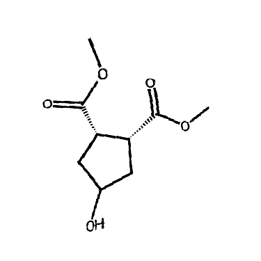 COC(=O)[C@H]1CC(O)C[C@H]1C(=O)OC